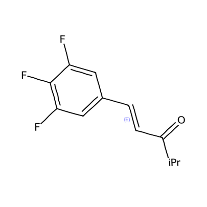 CC(C)C(=O)/C=C/c1cc(F)c(F)c(F)c1